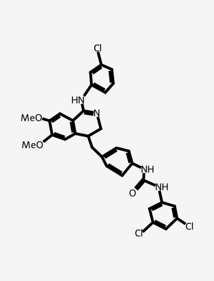 COc1cc2c(cc1OC)C(Cc1ccc(NC(=O)Nc3cc(Cl)cc(Cl)c3)cc1)CN=C2Nc1cccc(Cl)c1